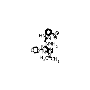 CC(C)n1cnc2c(N(N)Cc3nc4c([N+](=O)[O-])cccc4[nH]3)nc(N3CCOCC3)nc21